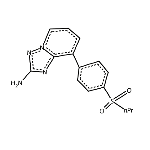 CCCS(=O)(=O)c1ccc(-c2cccn3nc(N)nc23)cc1